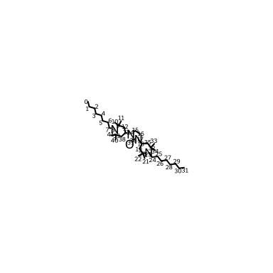 CCCCCCCCN1C(C)(C)CC(N2CCN(C3CC(C)(C)N(CCCCCCCC)C(C)(C)C3)C2=O)CC1(C)C